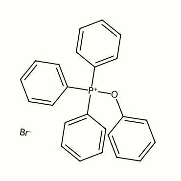 [Br-].c1ccc(O[P+](c2ccccc2)(c2ccccc2)c2ccccc2)cc1